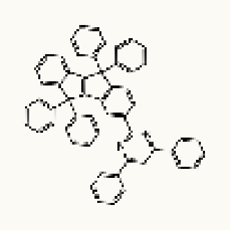 c1ccc(-c2cc(-c3ccccc3)nc(-c3ccc4c(c3)C3=C(c5ccccc5C3(c3ccccc3)c3ccccc3)C4(c3ccccc3)c3ccccc3)n2)cc1